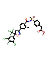 COC(=O)Cc1ccc(S(C)(=O)=NC(=O)c2ccc(C3=NOC(c4cc(Cl)c(F)c(Cl)c4)(C(F)(F)F)C3)cc2C)cc1